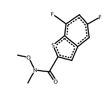 CON(C)C(=O)c1cc2cc(F)cc(F)c2s1